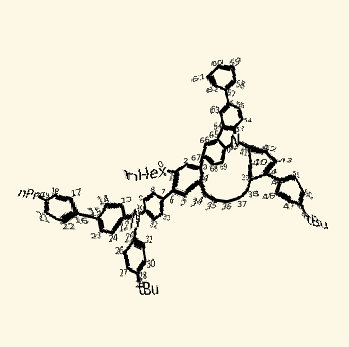 CCCCCCc1cc2c(cc1-c1ccc(N(c3ccc(-c4ccc(CCC)cc4)cc3)c3ccc(C(C)(C)C)cc3)cc1)CCCCCc1cc(ccc1-c1ccc(C(C)(C)C)cc1)-n1c3ccc(-c4ccccc4)cc3c3cc-2ccc31